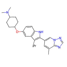 Cc1cc(-c2[nH]c3ccc(OC4CCC(N(C)C)CC4)cc3c2C(C)C)cn2ncnc12